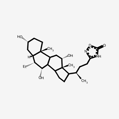 CC[C@H]1[C@@H](O)C2C3CCC([C@H](C)CCc4noc(=O)[nH]4)[C@@]3(C)[C@@H](O)CC2[C@@]2(C)CC[C@@H](O)C[C@@H]12